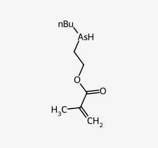 C=C(C)C(=O)OCC[AsH]CCCC